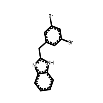 Brc1cc(Br)cc(Cc2nc3ccccc3[nH]2)c1